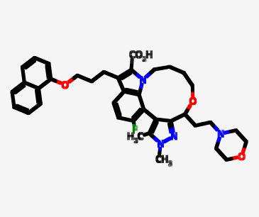 Cc1c2c(nn1C)C(CCN1CCOCC1)OCCCCn1c(C(=O)O)c(CCCOc3cccc4ccccc34)c3ccc(F)c-2c31